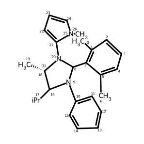 Cc1cccc(C)c1C1N(c2ccccc2)C(C(C)C)[C@H](C)N1c1cccn1C